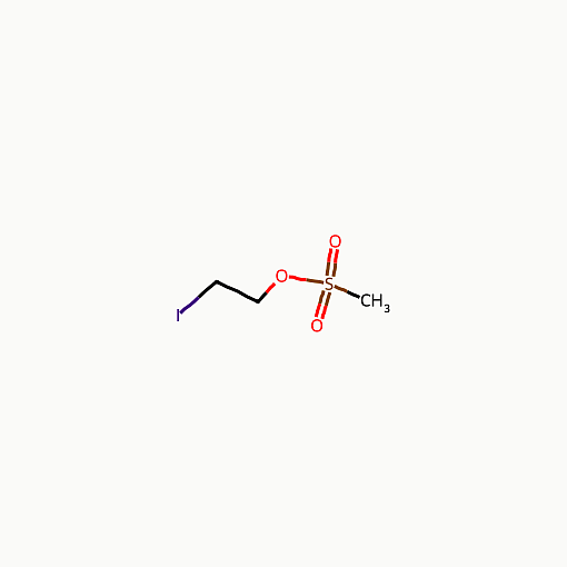 CS(=O)(=O)OCCI